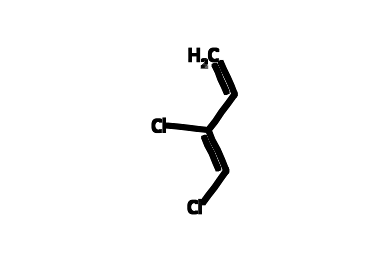 C=CC(Cl)=CCl